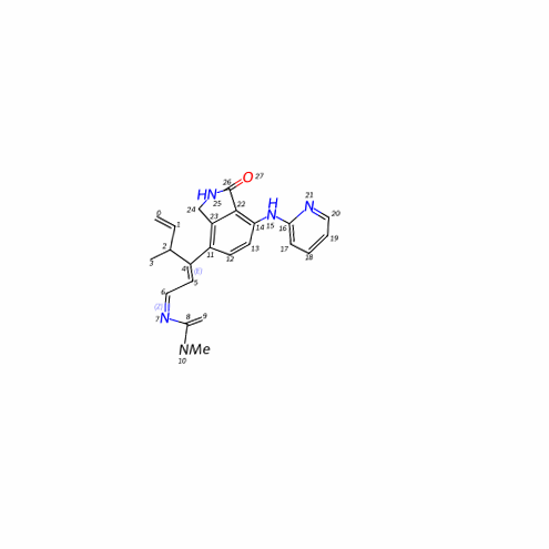 C=CC(C)/C(=C\C=N/C(=C)NC)c1ccc(Nc2ccccn2)c2c1CNC2=O